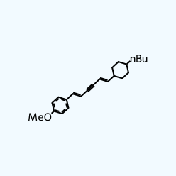 CCCCC1CCC(C=CC#CC=Cc2ccc(OC)cc2)CC1